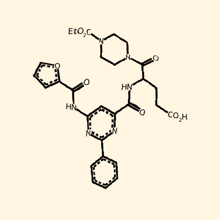 CCOC(=O)N1CCN(C(=O)C(CCC(=O)O)NC(=O)c2cc(NC(=O)c3ccco3)nc(-c3ccccc3)n2)CC1